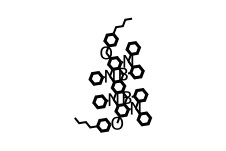 CCCCc1ccc(Oc2cc3c4c(c2)N(c2ccccc2)c2cc5c(cc2B4c2ccccc2N3c2ccccc2)B2c3ccccc3N(c3ccccc3)c3cc(Oc4ccc(CCCC)cc4)cc(c32)N5c2ccccc2)cc1